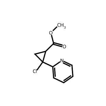 COC(=O)C1CC1(Cl)c1ccccn1